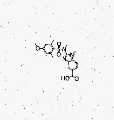 COc1cc(C)c(S(=O)(=O)N(C)c2nc3cc(C(=O)O)ccc3n2C)c(C)c1